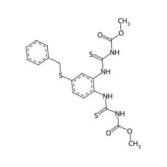 COC(=O)NC(=S)Nc1ccc(SCc2ccccc2)cc1NC(=S)NC(=O)OC